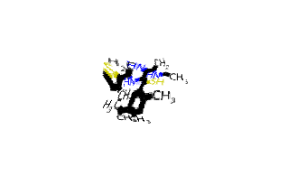 C=C(NCC)C(=N)/C(NC(=C)c1sccc1C)=C(\S)c1cc(C(C)C)c(C)cc1C